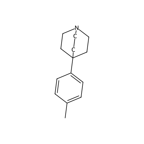 Cc1ccc(C23CCN(CC2)CC3)cc1